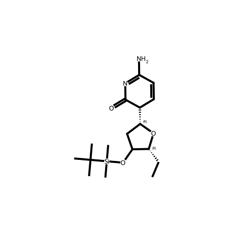 CC[C@H]1O[C@@H](C2C=CC(N)=NC2=O)CC1O[Si](C)(C)C(C)(C)C